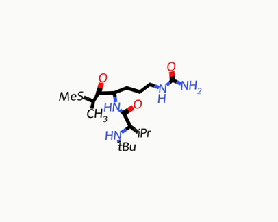 CSC(C)C(=O)C(CCCNC(N)=O)NC(=O)C(NC(C)(C)C)C(C)C